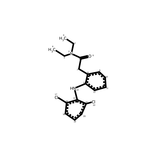 CCN(CC)C(=O)Cc1ccccc1Nc1c(Cl)cccc1Cl